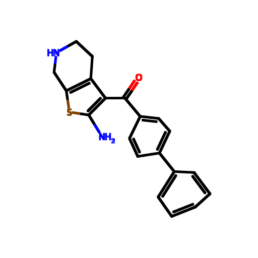 Nc1sc2c(c1C(=O)c1ccc(-c3ccccc3)cc1)CCNC2